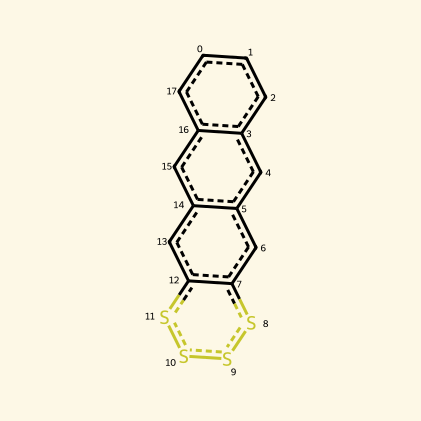 c1ccc2cc3cc4ssssc4cc3cc2c1